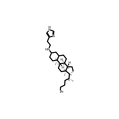 CC(C)CCC[C@@H](C)[C@H]1CC[C@H]2[C@@H]3CCC4CC(NCCc5c[nH]cn5)CC[C@]4(C)[C@H]3CC[C@]12C